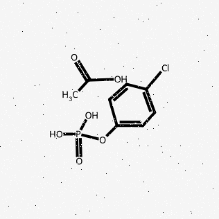 CC(=O)O.O=P(O)(O)Oc1ccc(Cl)cc1